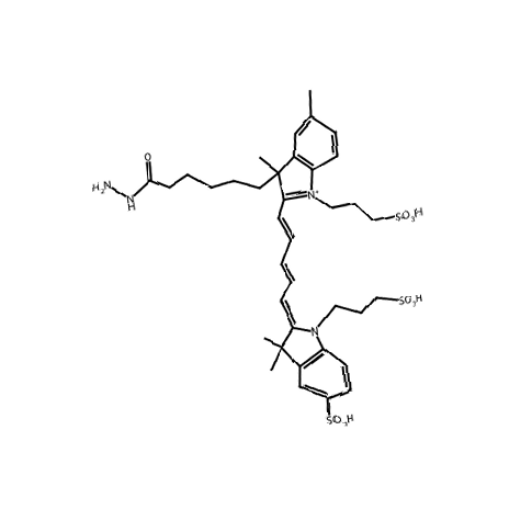 Cc1ccc2c(c1)C(C)(CCCCCC(=O)NN)C(/C=C/C=C/C=C1\N(CCCS(=O)(=O)O)c3ccc(S(=O)(=O)O)cc3C1(C)C)=[N+]2CCCS(=O)(=O)O